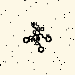 Cl.NCCCC[C@@H](/C=C/c1ccccn1)NC(=O)[C@H](Cc1ccccc1)NC(=O)OCc1ccccc1